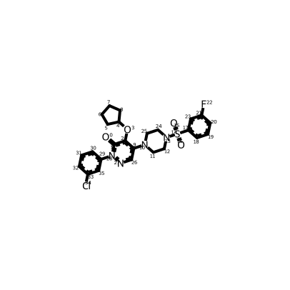 O=c1c(OC2CCCC2)c(N2CCN(S(=O)(=O)c3cccc(F)c3)CC2)cnn1-c1cccc(Cl)c1